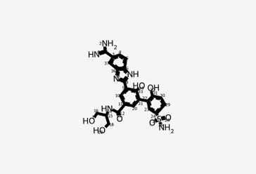 N=C(N)c1ccc2[nH]c(-c3cc(C(=O)NC(CO)CO)cc(-c4cc(S(N)(=O)=O)ccc4O)c3O)nc2c1